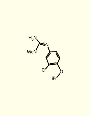 CN/C(N)=N\c1ccc(OC(C)C)c(Cl)c1